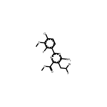 COC(=O)c1nc(-c2ccc(Cl)c(OC)c2F)nc(N)c1CC(F)Br